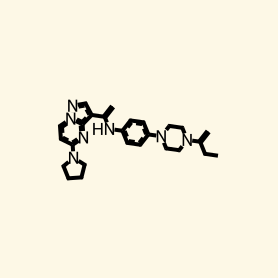 C=C(Nc1ccc(N2CCN(C(=C)CC)CC2)cc1)c1cnn2ccc(N3CCCC3)nc12